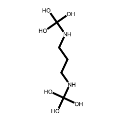 OC(O)(O)NCCCNC(O)(O)O